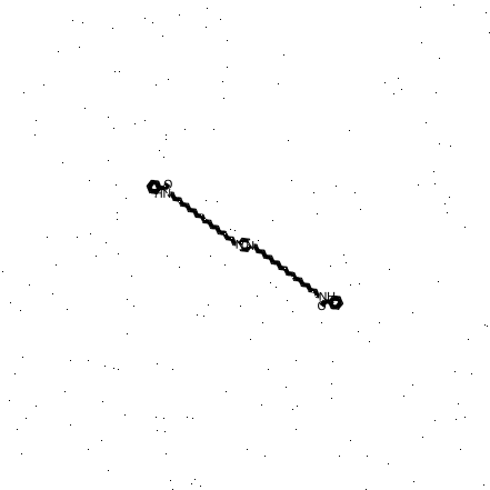 O=C(NCCCCCCCCCCCCCCCCCCN1CCN(CCCCCCCCCCCCCCCCCCNC(=O)c2ccccc2)CC1)c1ccccc1